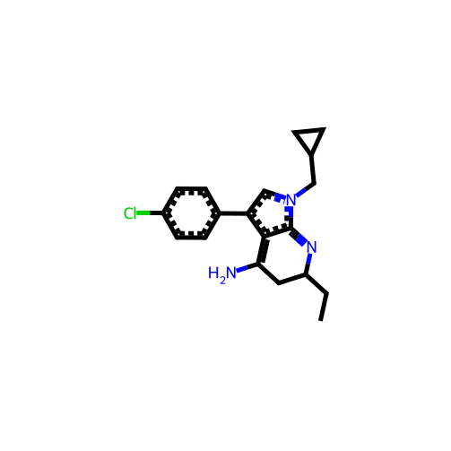 CCC1CC(N)=c2c(-c3ccc(Cl)cc3)cn(CC3CC3)c2=N1